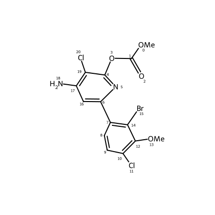 COC(=O)Oc1nc(-c2ccc(Cl)c(OC)c2Br)cc(N)c1Cl